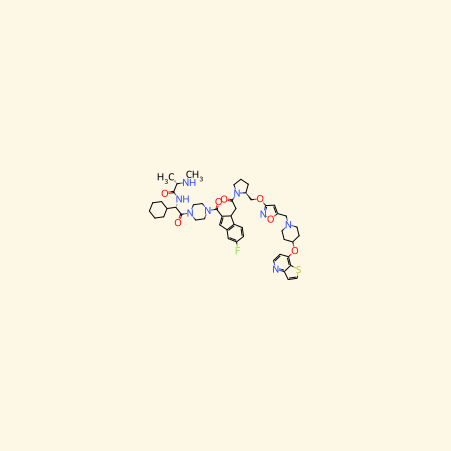 CN[C@@H](C)C(=O)N[C@H](C(=O)N1CCN(C(=O)C2=Cc3cc(F)ccc3C2CC(=O)N2CCC[C@H]2COc2cc(CN3CCC(Oc4ccnc5ccsc45)CC3)on2)CC1)C1CCCCC1